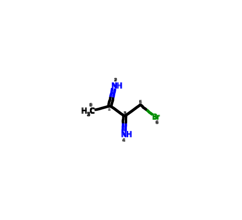 CC(=N)C(=N)CBr